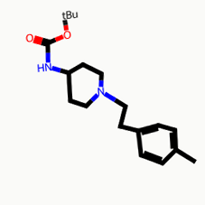 Cc1ccc(CCN2CCC(NC(=O)OC(C)(C)C)CC2)cc1